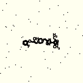 Cc1noc(C)c1-c1noc(CN2CCN(C[C@H](O)COc3ccccc3F)CC2)n1